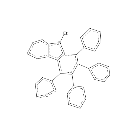 CCn1c2ccccc2c2c(-c3ccccc3)c(-c3ccccc3)c(-c3ccccc3)c(-c3ccccc3)c21